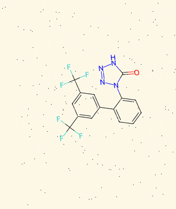 O=c1[nH]nnn1-c1ccccc1-c1cc(C(F)(F)F)cc(C(F)(F)F)c1